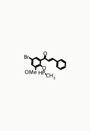 COc1cc(Br)cc(C(=O)/C=C/c2ccccc2)c1OPC